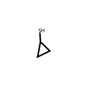 SC1[CH]C1